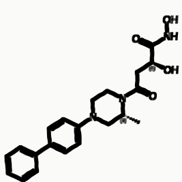 C[C@@H]1CN(c2ccc(-c3ccccc3)cc2)CCN1C(=O)C[C@H](O)C(=O)NO